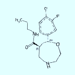 CCCNC(=O)[C@@H]1CNCCO[C@H]1c1ccc(Cl)c(F)c1